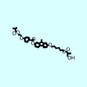 C=C(C)C(=O)OCCOc1ccc(C(=O)Oc2ccc3c(c2)C(C)c2cc(OCCCCCCOC(=O)C(=C)CO)ccc2-3)cc1